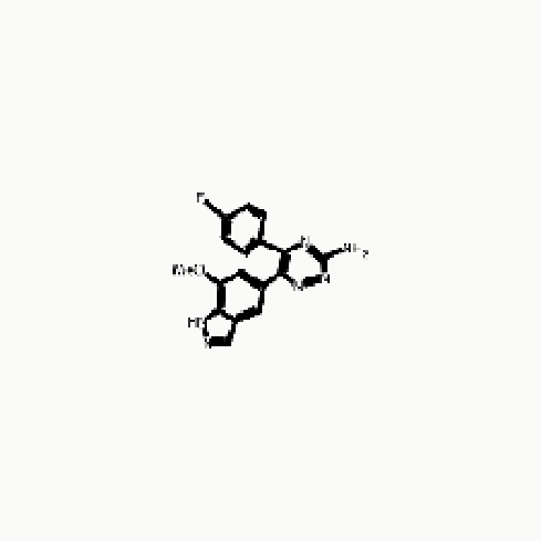 COc1cc(-c2nnc(N)nc2-c2ccc(F)cc2)cc2cn[nH]c12